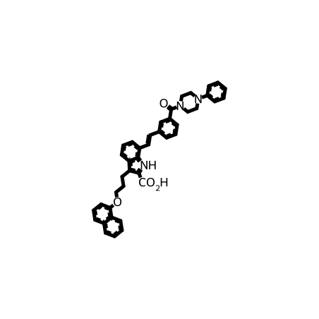 O=C(O)c1[nH]c2c(C=Cc3cccc(C(=O)N4CCN(c5ccccc5)CC4)c3)cccc2c1CCCOc1cccc2ccccc12